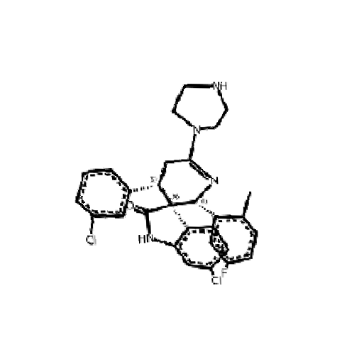 Cc1ccc(F)cc1[C@H]1N=C(N2CCNCC2)C[C@@H](c2cccc(Cl)c2)[C@]12C(=O)Nc1cc(Cl)ccc12